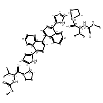 COC(=O)N[C@H](C(=O)N1CCC[C@H]1c1ncc(-c2ccc(-c3ccc(-c4cnc([C@@H]5CCCN5C(=O)[C@@H](NC(=O)OC)C(C)C)[nH]4)c4ccccc34)c3ccccc23)[nH]1)C(C)C